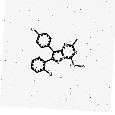 Cc1nc(NC(C)C)n2nc(-c3ccccc3Cl)c(-c3ccc(Cl)cc3)c2n1